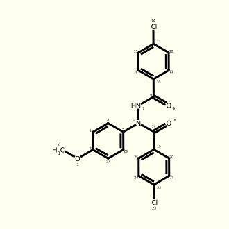 COc1ccc(N(NC(=O)c2ccc(Cl)cc2)C(=O)c2ccc(Cl)cc2)cc1